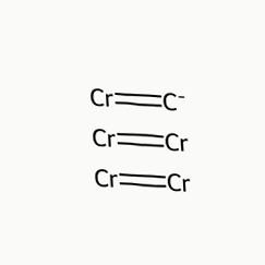 [CH-]=[Cr].[Cr]=[Cr].[Cr]=[Cr]